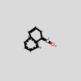 O=C=C1CC=Cc2ccccc21